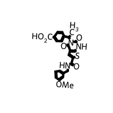 COc1cccc(CNC(=O)c2cc3c(=O)n(C(C)c4ccc(C(=O)O)cc4)c(=O)[nH]c3s2)c1